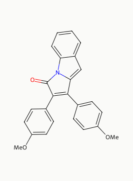 COc1ccc(C2=C(c3ccc(OC)cc3)c3cc4ccccc4n3C2=O)cc1